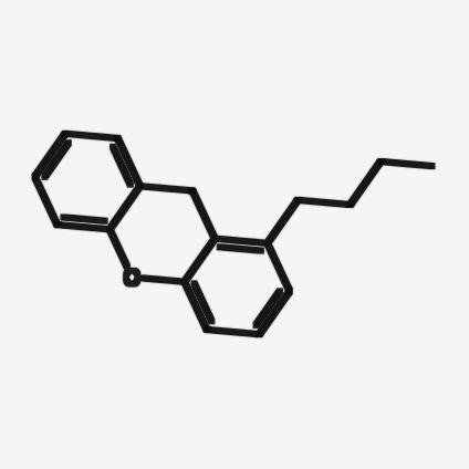 CCCCc1cccc2c1Cc1ccccc1O2